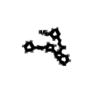 COc1cccc(CCNc2c(-c3cc(C#Cc4ccccc4)cs3)nc3cnccn23)c1